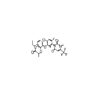 CCOC(=O)C(C)Oc1ncccc1Oc1nc(-n2c(=O)cc(C(F)(F)F)n(C)c2=O)c(F)cc1Cl